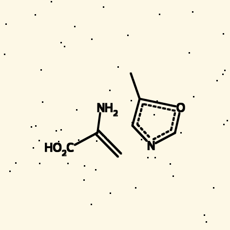 C=C(N)C(=O)O.Cc1cnco1